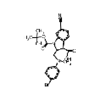 CN(CC1C(C(=O)O)c2ccc(C#N)cc2N1C(=O)OC(C)(C)C)c1ccc(Br)cc1